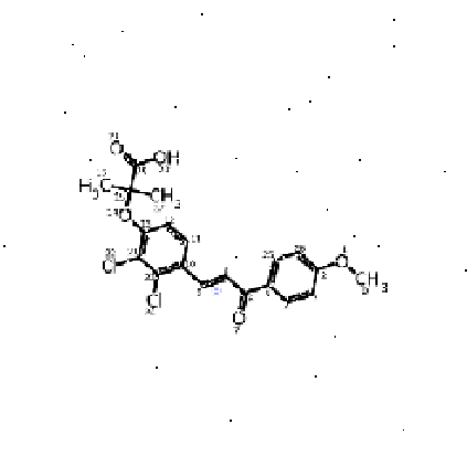 COc1ccc(C(=O)/C=C/c2ccc(OC(C)(C)C(=O)O)c(Cl)c2Cl)cc1